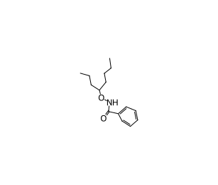 CCCCC(CCC)ONC(=O)c1ccccc1